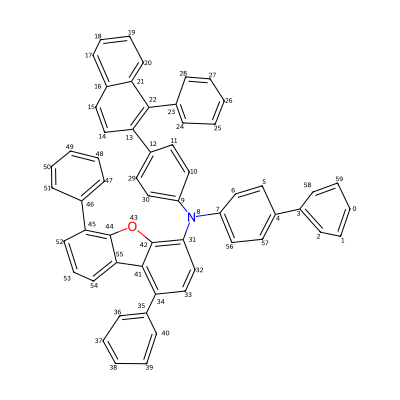 c1ccc(-c2ccc(N(c3ccc(-c4ccc5ccccc5c4-c4ccccc4)cc3)c3ccc(-c4ccccc4)c4c3oc3c(-c5ccccc5)cccc34)cc2)cc1